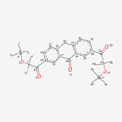 CC(C)(O[Si](C)(C)C)C(=O)c1ccc2c(c1)C(=O)c1cc(C(=O)C(C)(C)O[Si](C)(C)C)ccc1C2